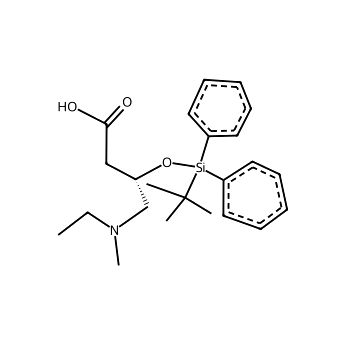 CCN(C)C[C@H](CC(=O)O)O[Si](c1ccccc1)(c1ccccc1)C(C)(C)C